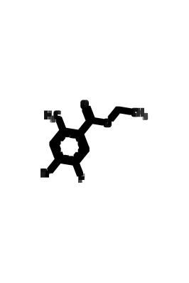 CCOC(=O)c1cc(F)c(Br)cc1C